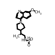 COc1ccc2c(N3CCC(C(C)CN[SH](=O)=O)CC3)ccnc2c1